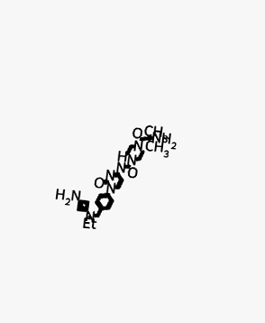 CCN(Cc1ccc(-n2ccc(NC(=O)N3CCN(C(=O)C(C)(C)N)CC3)nc2=O)cc1)C12CC(N)(C1)C2